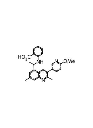 COc1ccc(-c2cc3c(C(C)Nc4ccccc4C(=O)O)cc(C)cc3nc2C)cn1